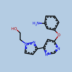 Nc1cccc(Oc2cc(-c3ccn(CCO)n3)ncn2)c1